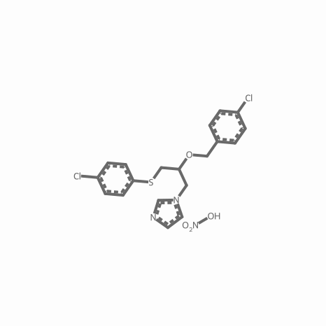 Clc1ccc(COC(CSc2ccc(Cl)cc2)Cn2ccnc2)cc1.O=[N+]([O-])O